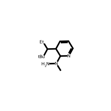 CCC(C1C=CC=NC1N(C)N)C(C)(C)C